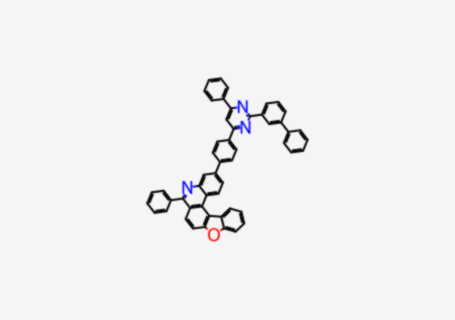 c1ccc(-c2cccc(-c3nc(-c4ccccc4)cc(-c4ccc(-c5ccc6c(c5)nc(-c5ccccc5)c5ccc7oc8ccccc8c7c56)cc4)n3)c2)cc1